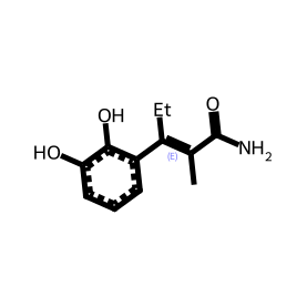 CC/C(=C(/C)C(N)=O)c1cccc(O)c1O